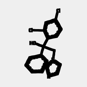 OC(Cn1ccnc1)(c1ccccc1)c1ccc(Cl)cc1Cl